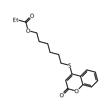 CCC(=O)OCCCCCCSc1cc(=O)oc2ccccc12